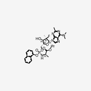 Cc1nc(N(C)C)c2ncn([C@@H]3O[C@H](COP(=O)(N[C@H](C)C(=O)OC(C)C)Oc4cccc5ccccc45)[C@@H](O)[C@@]3(C)F)c2n1